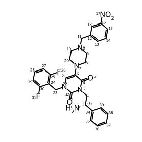 N[C@H](Cn1c(=O)c(N2CCN(Cc3cccc([N+](=O)[O-])c3)CC2)cn(Cc2c(F)cccc2F)c1=O)c1ccccc1